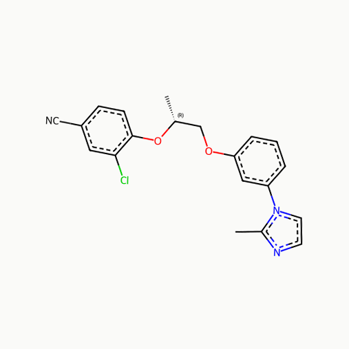 Cc1nccn1-c1cccc(OC[C@@H](C)Oc2ccc(C#N)cc2Cl)c1